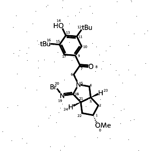 CO[C@H]1C[C@H]2CN(CC(=O)c3cc(C(C)(C)C)c(O)c(C(C)(C)C)c3)/C(=N\Br)[C@H]2C1